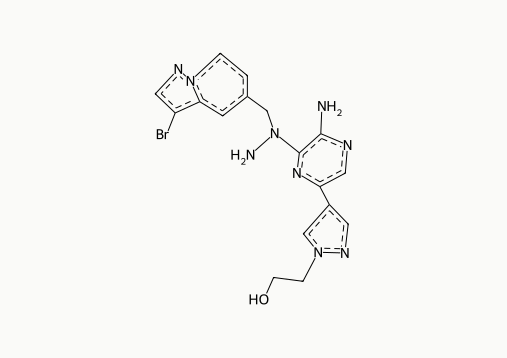 Nc1ncc(-c2cnn(CCO)c2)nc1N(N)Cc1ccn2ncc(Br)c2c1